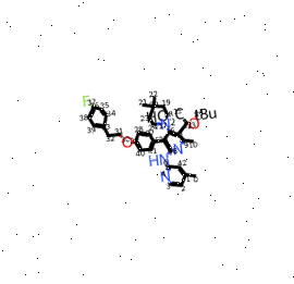 Cc1ccnc(Nc2nc(C)c(C(OC(C)(C)C)C(=O)O)c(N3CCC(C)(C)CC3)c2-c2ccc(OCCc3ccc(F)cc3)cc2)c1